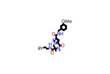 COc1cccc(CNC(=O)c2cc3n(n2)CC(C)(C(=O)NCCC(C)C)N(C)C3=O)c1